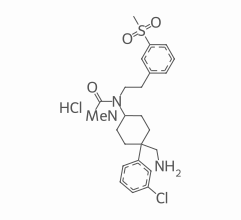 CNC(=O)N(CCc1cccc(S(C)(=O)=O)c1)C1CCC(CN)(c2cccc(Cl)c2)CC1.Cl